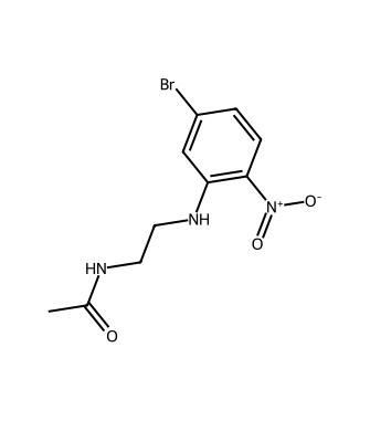 CC(=O)NCCNc1cc(Br)ccc1[N+](=O)[O-]